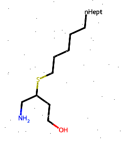 CCCCCCCCCCCCSC(CN)CCO